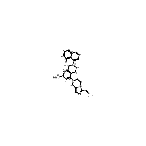 C=Cc1ncc2n1CCN(c1nc(OC)nc3c1CCN(c1cccc4cccc(Cl)c14)C3)C2